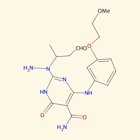 COCCOc1cccc(Nc2nc(N(N)C(C)CC=O)[nH]c(=O)c2C(N)=O)c1